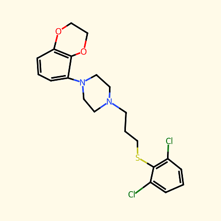 Clc1cccc(Cl)c1SCCCN1CCN(c2cccc3c2OCCO3)CC1